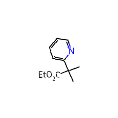 CCOC(=O)C(C)(C)c1ccccn1